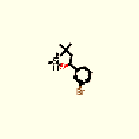 C[SiH](C)OC(CC(C)(C)C)c1cccc(Br)c1